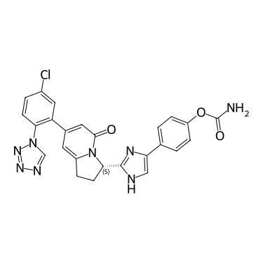 NC(=O)Oc1ccc(-c2c[nH]c([C@@H]3CCc4cc(-c5cc(Cl)ccc5-n5cnnn5)cc(=O)n43)n2)cc1